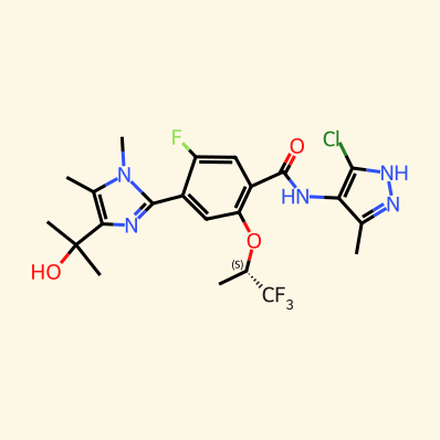 Cc1n[nH]c(Cl)c1NC(=O)c1cc(F)c(-c2nc(C(C)(C)O)c(C)n2C)cc1O[C@@H](C)C(F)(F)F